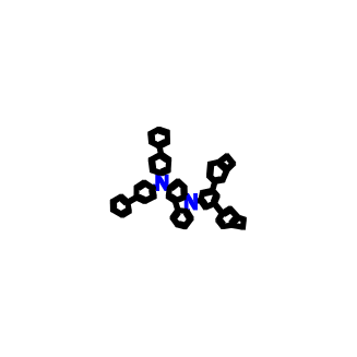 c1ccc(-c2ccc(N(c3ccc(-c4ccccc4)cc3)c3ccc4c(c3)c3ccccc3n4-c3cc(-c4ccc5c(c4)CC5)cc(-c4ccc5c(c4)CC5)c3)cc2)cc1